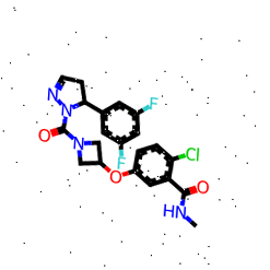 CNC(=O)c1cc(OC2CN(C(=O)N3N=CCC3c3cc(F)cc(F)c3)C2)ccc1Cl